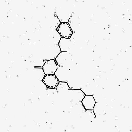 C=C1NC(C(C)Cc2ccc(F)c(Cl)c2)=Nc2c1ccnc2CNCC1CCN(C)CC1